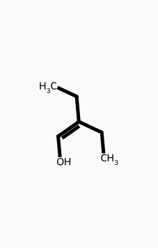 CCC(=CO)CC